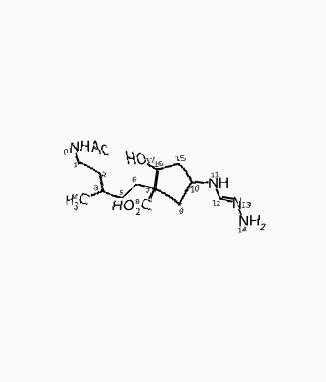 CC(=O)NCCC(C)CCC1(C(=O)O)CC(NC=NN)CC1O